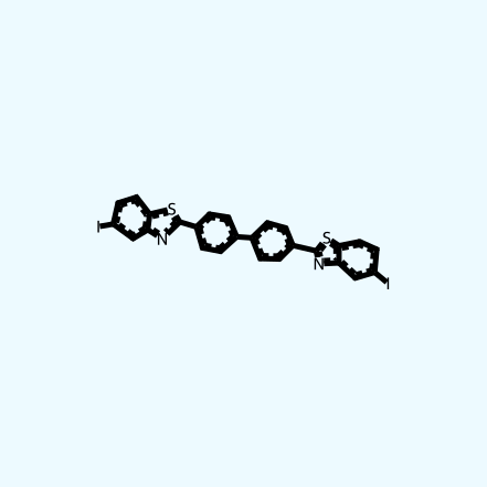 Ic1ccc2sc(-c3ccc(-c4ccc(-c5nc6cc(I)ccc6s5)cc4)cc3)nc2c1